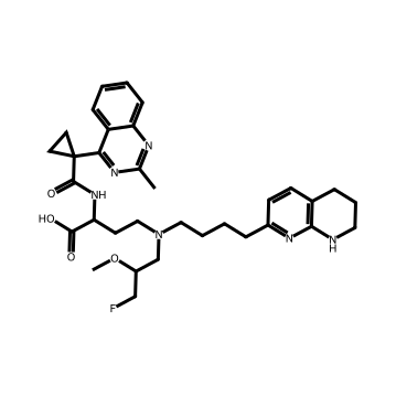 COC(CF)CN(CCCCc1ccc2c(n1)NCCC2)CCC(NC(=O)C1(c2nc(C)nc3ccccc23)CC1)C(=O)O